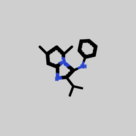 Cc1cc(C)n2c(Nc3ccccc3)c(C(C)C)nc2c1